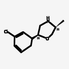 C[C@@H]1CO[C@@H](C2C=C(Cl)C=CC2)CN1